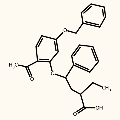 CCC(CC(Oc1cc(OCc2ccccc2)ccc1C(C)=O)c1ccccc1)C(=O)O